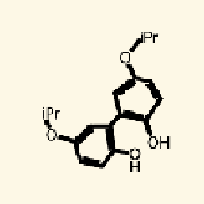 CC(C)Oc1ccc(O)c(-c2cc(OC(C)C)ccc2O)c1